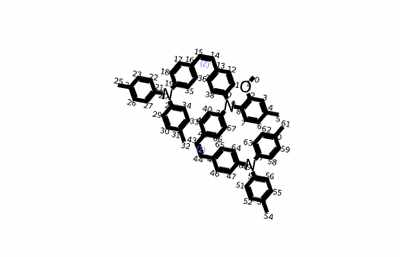 COc1cc(C)ccc1N(c1ccc(/C=C\c2ccc(N(c3ccc(C)cc3)c3ccc(C)cc3)cc2)cc1)c1ccc(/C=C\c2ccc(N(c3ccc(C)cc3)c3ccc(C)cc3)cc2)cc1